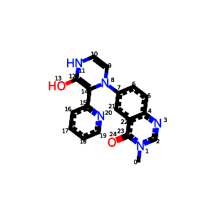 Cn1cnc2ccc(N3C=CNC(O)=C3c3ccccn3)cc2c1=O